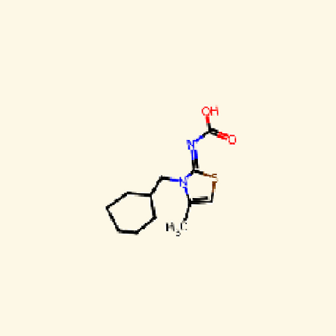 Cc1csc(=NC(=O)O)n1CC1CCCCC1